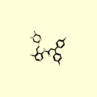 [CH2][C@H]1CO[C@H](CCc2c(F)cncc2NC(=O)CC(c2ccc(F)cc2)c2ccc(F)cc2)CN1